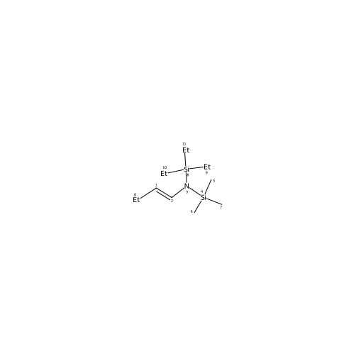 CCC=CN([Si](C)(C)C)[Si](CC)(CC)CC